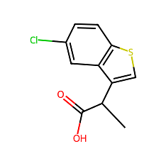 CC(C(=O)O)c1csc2ccc(Cl)cc12